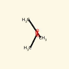 CCCCCCCCC=CCCCCCCCC(=O)OCC(CCCCCC)OC(=O)CCCCCCCC=CCCCCCCCC